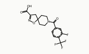 O=C(O)C1=NOC2(CCN(C(=O)c3ccc(C(F)(F)F)c(F)c3)CC2)C1